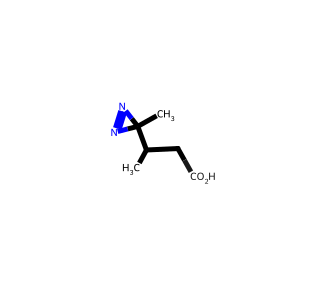 CC(CC(=O)O)C1(C)N=N1